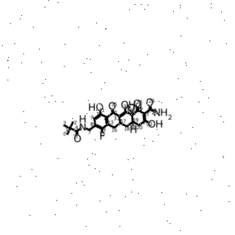 CC(C)(C)C(=O)NCc1cc(O)c2c(c1F)CC1C[C@H]3CC(O)=C(C(N)=O)C(=O)[C@@]3(O)C(O)=C1C2=O